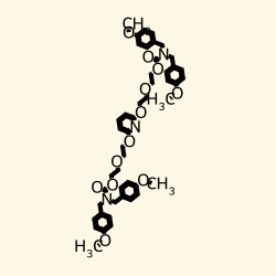 COc1ccc(CN(Cc2ccc(OC)cc2)C(=O)OCCOCCOc2cccc(OCCOCCOC(=O)N(Cc3ccc(OC)cc3)Cc3ccc(OC)cc3)n2)cc1